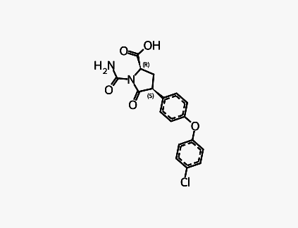 NC(=O)N1C(=O)[C@H](c2ccc(Oc3ccc(Cl)cc3)cc2)C[C@@H]1C(=O)O